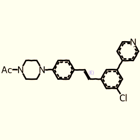 CC(=O)N1CCN(c2ccc(/C=C/c3cc(Cl)cc(-c4ccncc4)c3)cc2)CC1